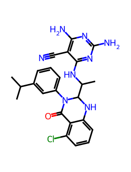 CC(C)c1cccc(N2C(=O)c3c(Cl)cccc3NC2C(C)Nc2nc(N)nc(N)c2C#N)c1